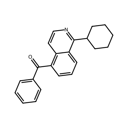 O=C(c1ccccc1)c1cccc2c(C3CCCCC3)nccc12